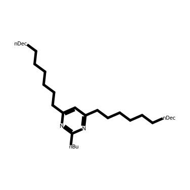 [CH2]CCCc1nc(CCCCCCCCCCCCCCCC)cc(CCCCCCCCCCCCCCCC)n1